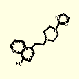 Oc1ccc(CCN2CCN(c3nccs3)CC2)c2cccnc12